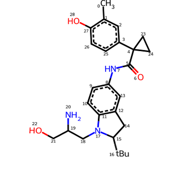 Cc1cc(C2(C(=O)Nc3ccc4c(c3)CC(C(C)(C)C)N4CC(N)CO)CC2)ccc1O